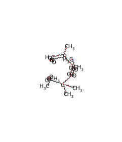 C/C=C\CCCCC(C)(CCCCCCCCCC1CCC(CCCCCC)C(CCCCCCCC)C1CCCCCCCCN1C(=O)C=CC1=O)n1c(=O)c2cc3c(=O)n(CCCCCCCCC4C(CCCCCCCCC(C)(CCCCC)N5C(=O)C=CC5=O)CCC(CCCCCC)C4CCCCCCCC)c(=O)c3cc2c1=O